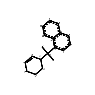 CC(C)(c1cccc2ccccc12)C1C=CCCC1